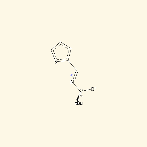 CC(C)(C)[S@+]([O-])/N=C/c1cccs1